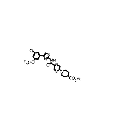 CCOC(=O)C1CCN(c2cnc(C(=O)Nc3nc(-c4cc(Cl)cc(OC(F)(F)F)c4)cs3)cn2)CC1